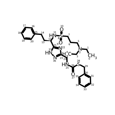 CCN(CC)CCCS(=O)(=O)N[C@H](CCc1ccccc1)c1nc(CNC(=O)SCc2ccccc2)n[nH]1